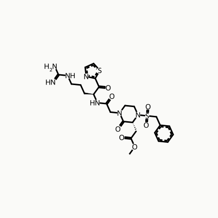 COC(=O)C[C@@H]1C(=O)N(CC(=O)N[C@@H](CCCNC(=N)N)C(=O)c2nccs2)CCN1S(=O)(=O)Cc1ccccc1